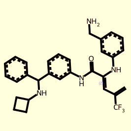 C=C(/C=C(\Nc1cccc(CN)c1)C(=O)Nc1cccc(C(NC2CCC2)c2ccccc2)c1)C(F)(F)F